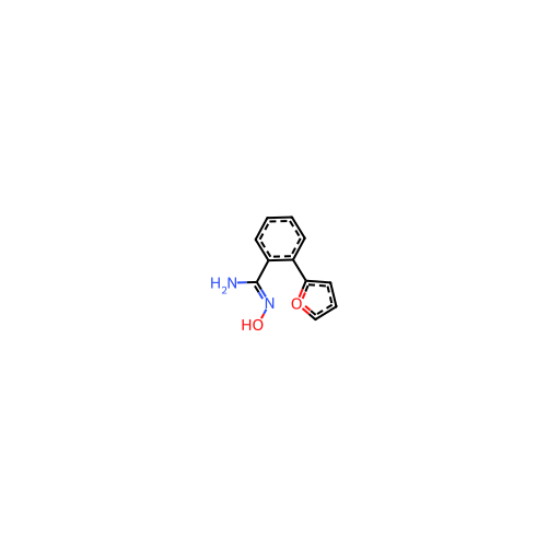 NC(=NO)c1ccccc1-c1ccco1